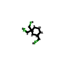 FC[C]1[CH]C(CF)(CF)CCC1